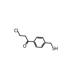 O=C(CCCl)c1ccc(CS)cc1